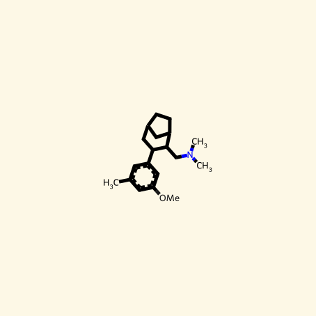 COc1cc(C)cc(C2CC3CCC(C3)C2CN(C)C)c1